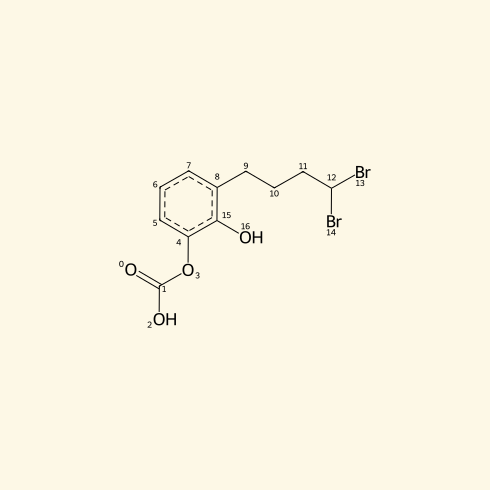 O=C(O)Oc1cccc(CCCC(Br)Br)c1O